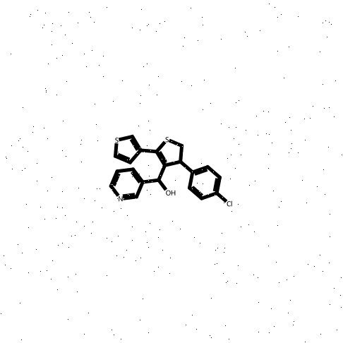 OC(C1=C(c2ccsc2)SCC1c1ccc(Cl)cc1)c1cccnc1